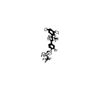 O=S(=O)(CSc1ccc(C2=NO[C@@](c3cc(Cl)cc(Cl)c3)(C(F)(F)F)C2)cc1Br)NCC(F)(F)F